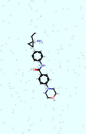 CC[C@]1(N)C[C@H]1c1ccc(NC(=O)c2ccc(N3CCOCC3)cc2)cc1